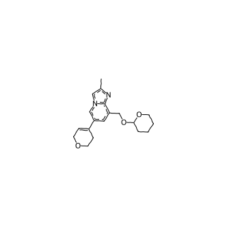 Cc1cn2cc(C3=CCOCC3)cc(COC3CCCCO3)c2n1